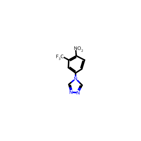 O=[N+]([O-])c1ccc(-n2cnnc2)cc1C(F)(F)F